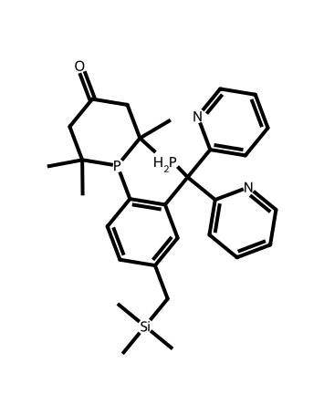 CC1(C)CC(=O)CC(C)(C)P1c1ccc(C[Si](C)(C)C)cc1C(P)(c1ccccn1)c1ccccn1